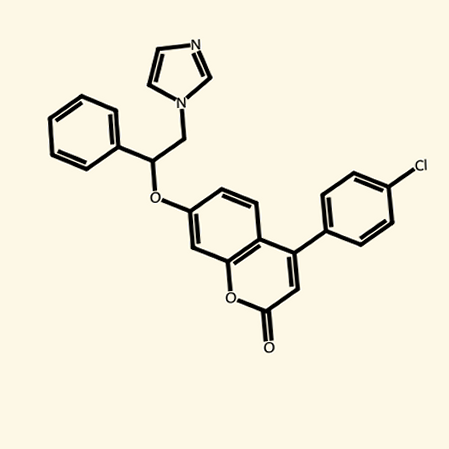 O=c1cc(-c2ccc(Cl)cc2)c2ccc(OC(Cn3ccnc3)c3ccccc3)cc2o1